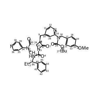 CC[C@@H](NC(=O)N1C(=O)[C@H](Cc2ccnc(N(Cc3ccc(OC)cc3)C(=O)OC(C)(C)C)c2)[C@H]1C(=O)N(C)c1ccncc1)c1ccccc1